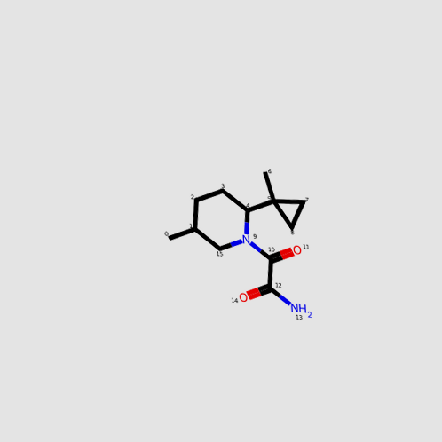 CC1CCC(C2(C)CC2)N(C(=O)C(N)=O)C1